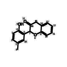 Cc1ccc(O)c(C2Oc3ccccc3CC2=O)c1